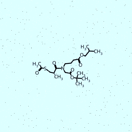 CC(=O)SC[C@@H](C)C(=O)N(CCCC(=O)OCC(C)C)CC(=O)OC(C)(C)C